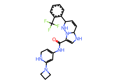 O=C(NC1=CCNC(N2CCC2)=C1)C1=CNC2C=CC(c3ccccc3C(F)(F)F)NN12